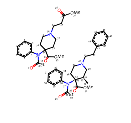 CCC(=O)N(c1ccccc1)C1(C(=O)OC)CCN(CCC(=O)OC)CC1.CCC(=O)N(c1ccccc1)[C@@]1(C(=O)OC)CCN(CCc2ccccc2)C[C@H]1C